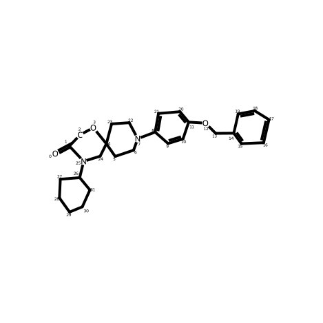 O=C1COC2(CCN(c3ccc(OCc4ccccc4)cc3)CC2)CN1C1CCCCC1